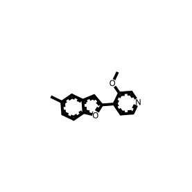 COc1cnccc1-c1cc2cc(C)ccc2o1